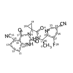 C[C@@H](NC(=O)C1(n2c(=O)[nH]c3cccc(C#N)c3c2=O)CC1)c1ncc(C#N)cc1F